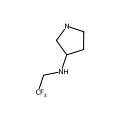 FC(F)(F)CNC1CC[N]C1